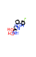 ONC(O)c1cnc(NC2(c3cccc(F)c3)CCCCC2)nc1